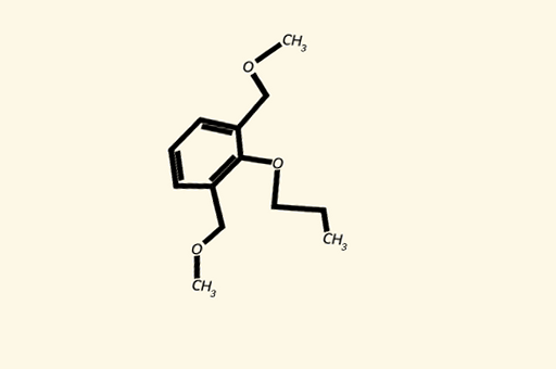 CCCOc1c(COC)cccc1COC